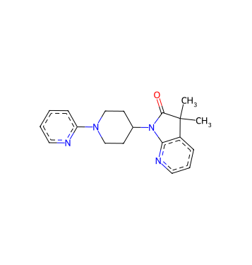 CC1(C)C(=O)N(C2CCN(c3ccccn3)CC2)c2ncccc21